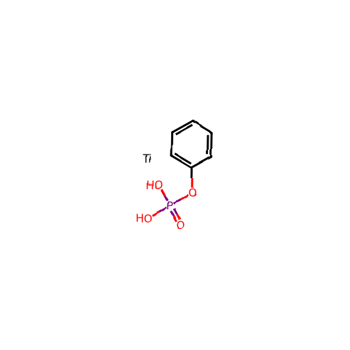 O=P(O)(O)Oc1ccccc1.[Ti]